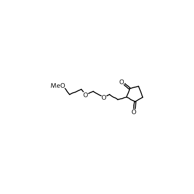 COCCOCOCCC1C(=O)CCC1=O